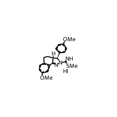 COc1ccc([C@@H]2[C@H]3CCc4ccc(OC)cc4C3=NN2C(=N)SC)cc1.I